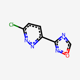 Clc1ccc(-c2ncon2)nn1